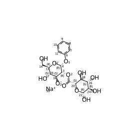 O=C(O[C@H]1[C@@H](Oc2ccccc2)O[C@H](CO)[C@@H](O)[C@@H]1[O-])[C@H]1O[C@@H](O)[C@H](O)[C@@H](O)[C@@H]1O.[Na+]